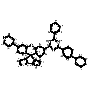 c1ccc(-c2ccc(-c3nc(-c4ccccc4)nc(-c4ccc5c(c4)Oc4cc(-c6ccncc6)ccc4C54c5ccccc5-c5ccccc54)n3)cc2)cc1